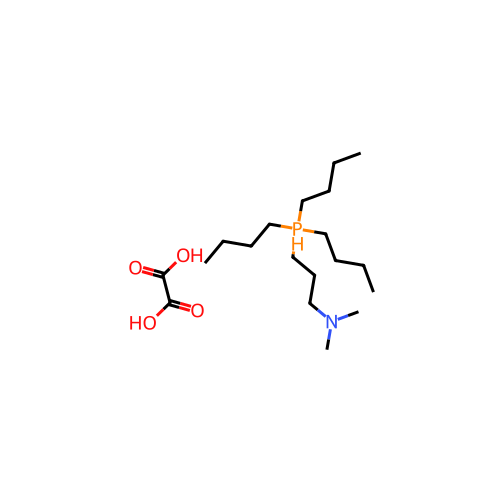 CCCC[PH](CCCC)(CCCC)CCCN(C)C.O=C(O)C(=O)O